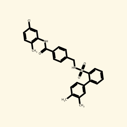 Cc1ccc(-c2ccccc2S(=O)(=O)NCc2ccc(C(=O)Nc3cc(Cl)ccc3C)cc2)cc1C